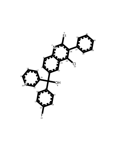 CCc1nc2ccc(C(O)(c3ccc(F)cc3)c3cccnc3)cc2c(Cl)c1-c1ccccc1